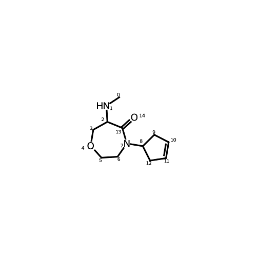 CNC1COCCN(C2CC=CC2)C1=O